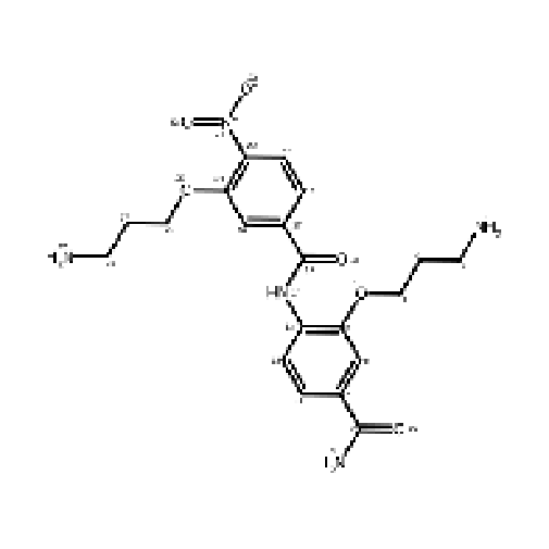 NCCCOc1cc(C(N)=O)ccc1NC(=O)c1ccc([N+](=O)[O-])c(OCCCN)c1